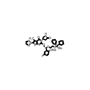 COc1ccc(F)cc1[C@H](COc1nc2sc(-n3nccn3)c(C)c2c(=O)n1[C@@H]1CNC(=O)C1)OCCO[Si](c1ccccc1)(c1ccccc1)C(C)(C)C